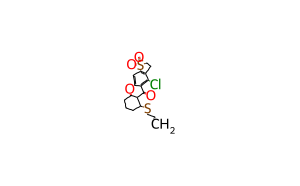 C=CCSC1CCCC(=O)C1C(=O)c1ccc2c(c1Cl)CCS2(=O)=O